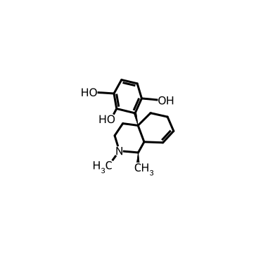 C[C@@H]1C2C=CCC[C@@]2(c2c(O)ccc(O)c2O)CCN1C